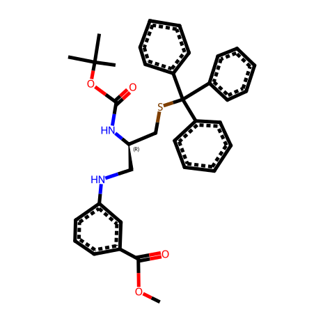 COC(=O)c1cccc(NC[C@H](CSC(c2ccccc2)(c2ccccc2)c2ccccc2)NC(=O)OC(C)(C)C)c1